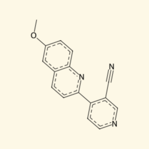 COc1ccc2nc(-c3ccncc3C#N)ccc2c1